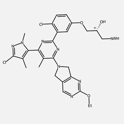 CCOc1ncc2c(n1)CN(c1nc(-c3cc(OC[C@H](O)CNC)ccc3Cl)nc(-c3c(C)c(Cl)nn3C)c1C)C2